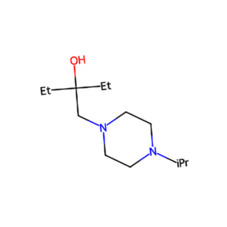 CCC(O)(CC)CN1CCN(C(C)C)CC1